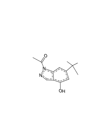 CC(=O)n1ncc2c(O)cc(C(C)(C)C)cc21